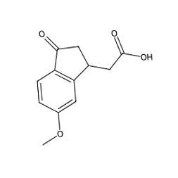 COc1ccc2c(c1)C(CC(=O)O)CC2=O